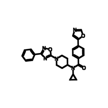 O=C(c1ccc(-c2cnco2)cc1)N(C1CC1)C1CCN(c2nc(-c3ccccc3)no2)CC1